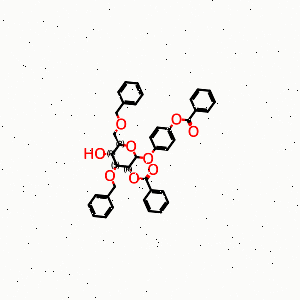 O=C(Oc1ccc(OC2O[C@H](COCc3ccccc3)[C@@H](O)[C@H](OCc3ccccc3)[C@H]2OC(=O)c2ccccc2)cc1)c1ccccc1